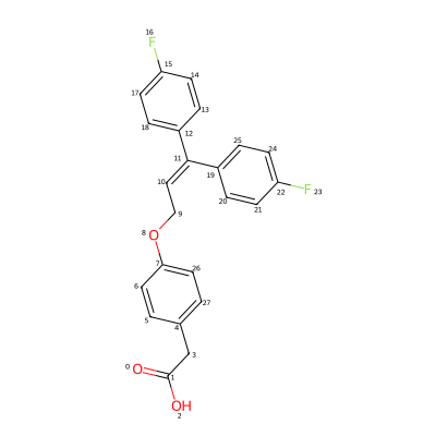 O=C(O)Cc1ccc(OCC=C(c2ccc(F)cc2)c2ccc(F)cc2)cc1